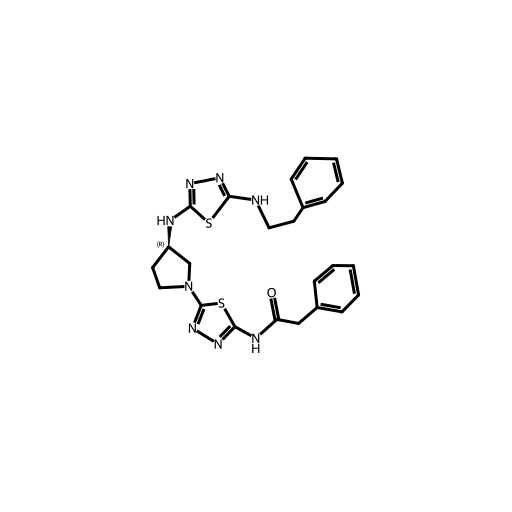 O=C(Cc1ccccc1)Nc1nnc(N2CC[C@@H](Nc3nnc(NCCc4ccccc4)s3)C2)s1